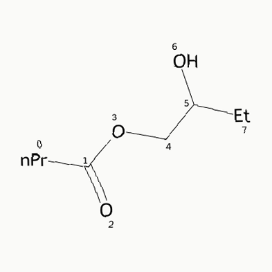 CCCC(=O)OCC(O)CC